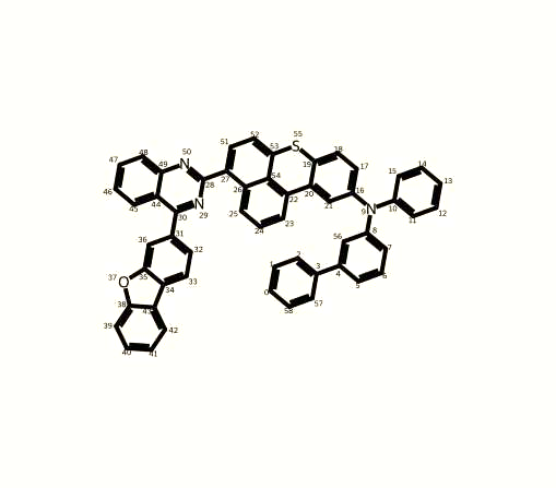 c1ccc(-c2cccc(N(c3ccccc3)c3ccc4c(c3)-c3cccc5c(-c6nc(-c7ccc8c(c7)oc7ccccc78)c7ccccc7n6)ccc(c35)S4)c2)cc1